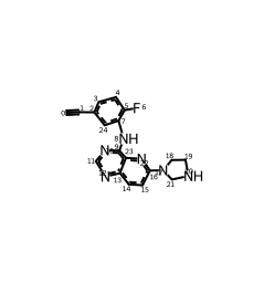 C#Cc1ccc(F)c(Nc2ncnc3ccc(N4CCNC4)nc23)c1